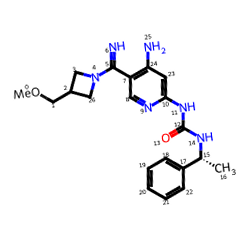 COCC1CN(C(=N)c2cnc(NC(=O)N[C@H](C)c3ccccc3)cc2N)C1